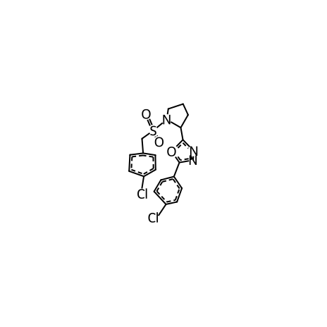 O=S(=O)(Cc1ccc(Cl)cc1)N1CCCC1c1nnc(-c2ccc(Cl)cc2)o1